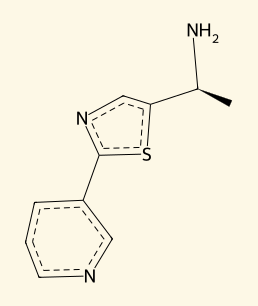 C[C@H](N)c1cnc(-c2cccnc2)s1